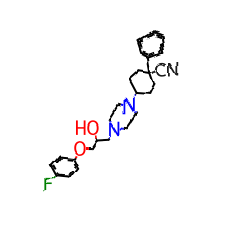 N#C[C@]1(c2ccccc2)CC[C@@H](N2CCN(C[C@H](O)COc3ccc(F)cc3)CC2)CC1